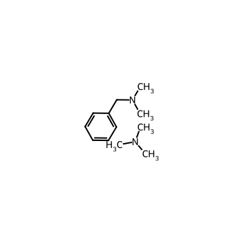 CN(C)C.CN(C)Cc1ccccc1